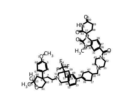 COc1ccc([C@]2(CCN(Cc3ccc(C4=CCC(CN5CCN(C(=O)c6ccc7c(c6)n(C)c(=O)n7C6CCC(=O)NC6=O)CC5)CC4)cc3)CC3(C(F)(F)F)CCC3)CCOC(C)(C)C2)cc1